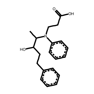 CC(C(O)CCc1ccccc1)N(CCC(=O)O)c1ccccc1